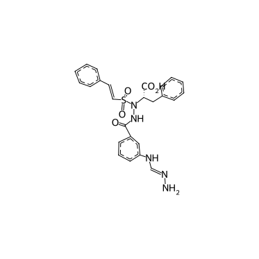 NN=CNc1cccc(C(=O)NN([C@@H](Cc2ccccc2)C(=O)O)S(=O)(=O)C=Cc2ccccc2)c1